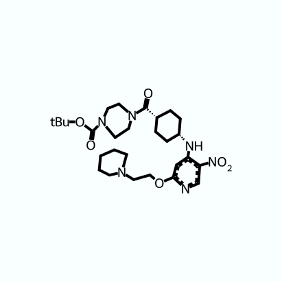 CC(C)(C)OC(=O)N1CCN(C(=O)[C@H]2CC[C@@H](Nc3cc(OCCN4CCCCC4)ncc3[N+](=O)[O-])CC2)CC1